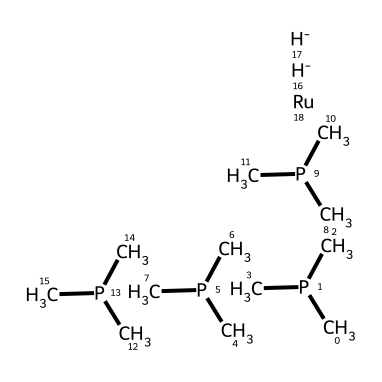 CP(C)C.CP(C)C.CP(C)C.CP(C)C.[H-].[H-].[Ru]